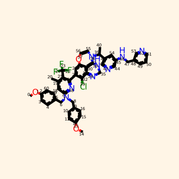 COc1ccc(CN(Cc2ccc(OC)cc2)c2cc(C)c(C(F)(F)F)c(-c3cc4c5c(c3Cl)=NCNC=5N(C(C)c3cncc(NCc5cccnc5)c3)C=CO4)n2)cc1